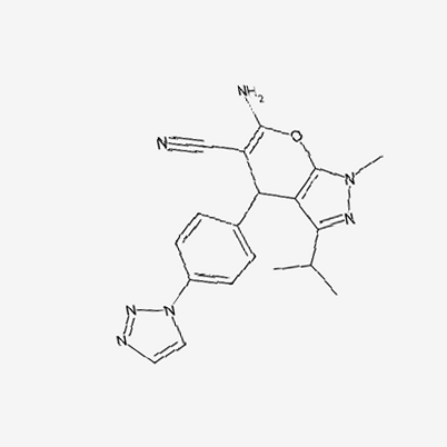 CC(C)c1nn(C)c2c1C(c1ccc(-n3ccnn3)cc1)C(C#N)=C(N)O2